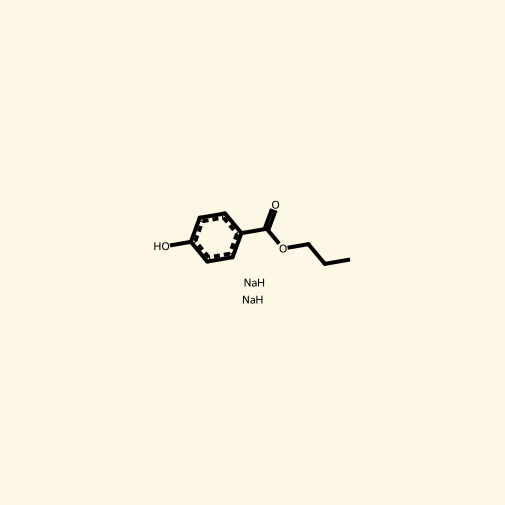 CCCOC(=O)c1ccc(O)cc1.[NaH].[NaH]